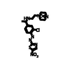 CC(NCC[N+]12CCN(CC1)CC2)c1ccc(N=Nc2ncc([N+](=O)[O-])s2)c(Cl)c1